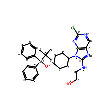 CC(C)(C)[Si](O[C@H]1CC[C@H](n2c(NCCO)nc3cnc(Cl)nc32)CC1)(c1ccccc1)c1ccccc1